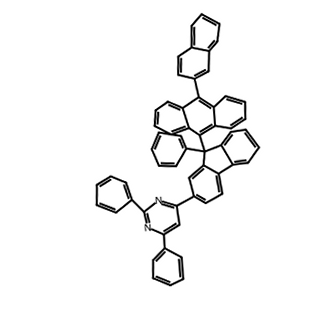 c1ccc(-c2cc(-c3ccc4c(c3)C(c3ccccc3)(c3c5ccccc5c(-c5ccc6ccccc6c5)c5ccccc35)c3ccccc3-4)nc(-c3ccccc3)n2)cc1